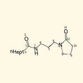 CCCCCCCC(=O)NCCCN1CCCC1=O